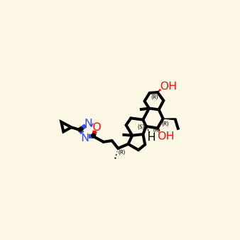 CC[C@@H]1C2C[C@H](O)CCC2(C)C2CCC3(C)C(CCC3[C@H](C)CCc3nc(C4CC4)no3)[C@@H]2[C@@H]1O